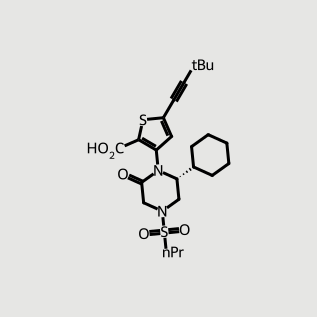 CCCS(=O)(=O)N1CC(=O)N(c2cc(C#CC(C)(C)C)sc2C(=O)O)[C@H](C2CCCCC2)C1